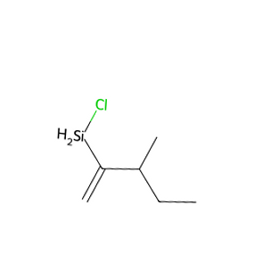 C=C([SiH2]Cl)C(C)CC